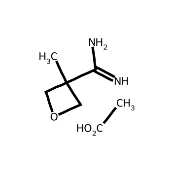 CC(=O)O.CC1(C(=N)N)COC1